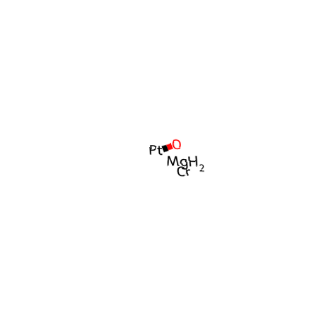 [Cr].[MgH2].[O]=[Pt]